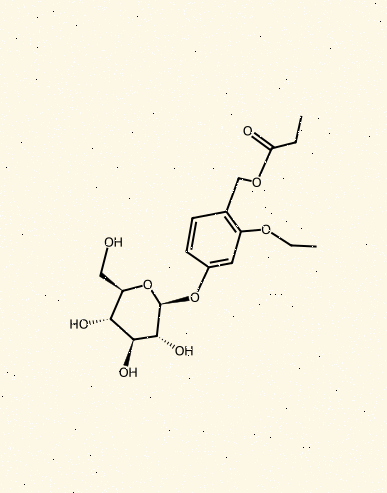 CCOc1cc(O[C@@H]2O[C@H](CO)[C@@H](O)[C@H](O)[C@H]2O)ccc1COC(=O)CC